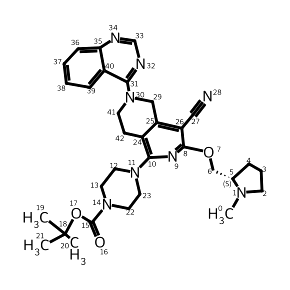 CN1CCC[C@H]1COc1nc(N2CCN(C(=O)OC(C)(C)C)CC2)c2c(c1C#N)CN(c1ncnc3ccccc13)CC2